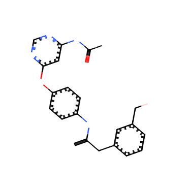 BCc1cccc(CC(=C)Nc2ccc(Oc3cc(NC(=O)CCC)ncn3)cc2)c1